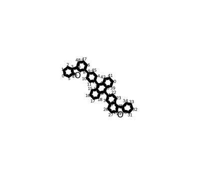 c1ccc2c(c1)oc1c(-c3ccc(-c4c5ccccc5c(-c5ccc6c(ccc7oc8ccccc8c76)c5)c5ccccc45)cc3)cccc12